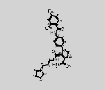 NC(=O)c1ncn(-c2ccc(NC(=O)c3ccc(F)cc3Cl)cc2)c1C(=O)NCCCN1CCCC1